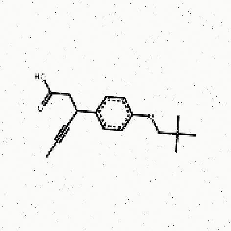 CC#CC(CC(=O)O)c1ccc(OCC(C)(C)C)cc1